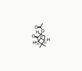 CC(=O)O[C@@H]1C[C@@H]2C[C@@H](C1=O)C2(C)C